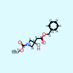 CC(C)(C)OC(=O)N1CC(O)(CC(=O)OCc2ccccc2)C1